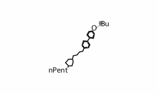 CCCCCC1CCC(CCCCc2ccc(-c3ccc(OC[C@@H](C)CC)cc3)cc2)CC1